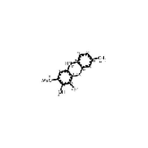 COc1cc2c(c(Br)c1O)Sc1cc(C)ccc1N2